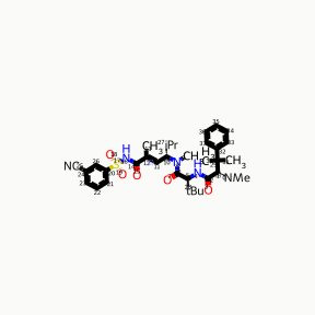 CN[C@H](C(=O)N[C@H](C(=O)N(C)[C@H](/C=C(\C)C(=O)NS(=O)(=O)c1cccc(C#N)c1)C(C)C)C(C)(C)C)C(C)(C)c1ccccc1